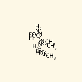 CC(C)Cc1nc(-c2cnc(N)c(OC(F)(F)F)c2)cn1[C@]12C3[C@@H](N4CCN(C)CC4)C[C@@H]1[C@H]32